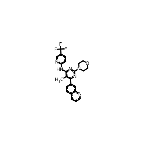 Cc1c(Nc2ccc(C(F)(F)F)cn2)nc(N2CCOCC2)nc1-c1ccc2cccnc2c1